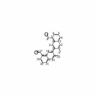 Cc1cc2cccc(C=O)c2cc1-c1cc2c(C=O)cccc2cc1C